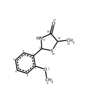 COc1ccccc1C1NC(=O)C(C)S1